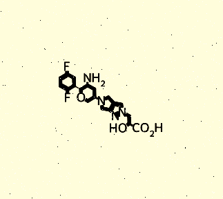 N[C@H]1C[C@@H](N2Cc3cn(C[C@H](O)C(=O)O)nc3C2)CO[C@@H]1C1CC(F)=CC=C1F